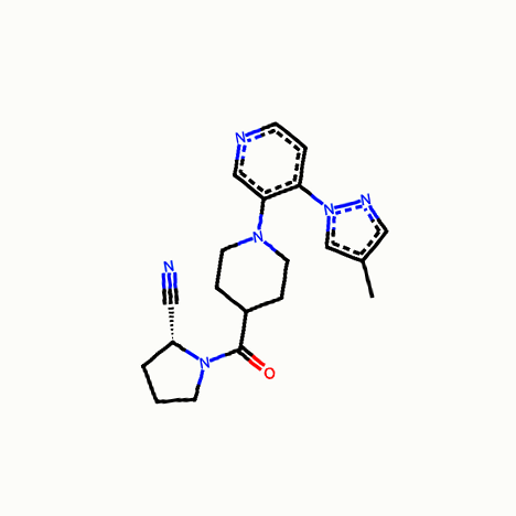 Cc1cnn(-c2ccncc2N2CCC(C(=O)N3CCC[C@@H]3C#N)CC2)c1